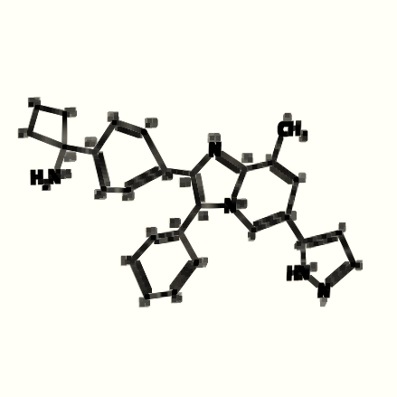 Cc1cc(-c2ccn[nH]2)cn2c(-c3ccccc3)c(-c3ccc(C4(N)CCC4)cc3)nc12